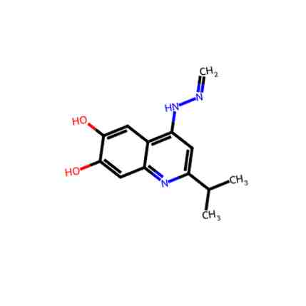 C=NNc1cc(C(C)C)nc2cc(O)c(O)cc12